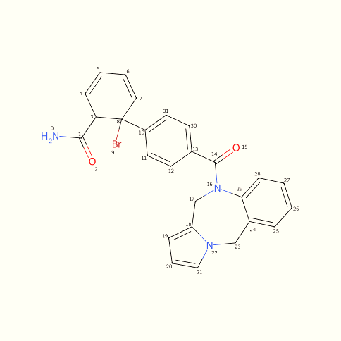 NC(=O)C1C=CC=CC1(Br)c1ccc(C(=O)N2Cc3cccn3Cc3ccccc32)cc1